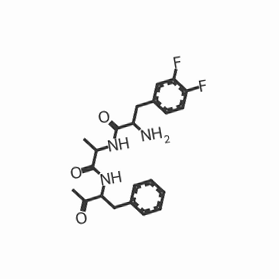 CC(=O)C(Cc1ccccc1)NC(=O)C(C)NC(=O)C(N)Cc1ccc(F)c(F)c1